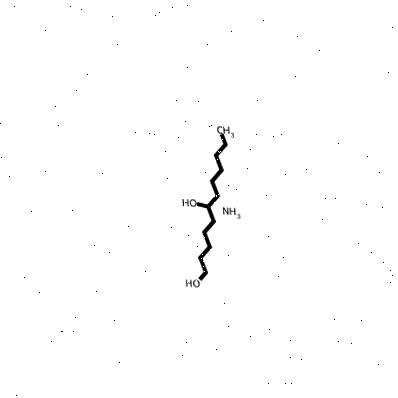 CCCCCCC(O)CCCCCO.N